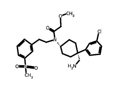 COCC(=O)N(CCc1cccc(S(C)(=O)=O)c1)[C@H]1CC[C@](CN)(c2cccc(Cl)c2)CC1